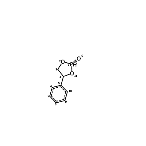 O=[PH]1OCC(c2ccccc2)O1